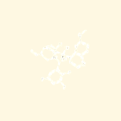 C=CC1C[N+]2(Cc3cc(F)cc(F)c3F)CCC1C[C@H]2[C@](O)(Br)c1ccnc2ccc(OC)cc12